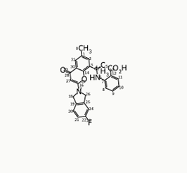 Cc1cc([C@@H](C)Nc2ccccc2C(=O)O)c2oc(N3Cc4ccc(F)cc4C3)cc(=O)c2c1